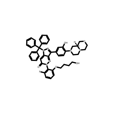 O=c1cc2c(nn1-c1c(F)cccc1OCCCCO)c(-c1ccc(N3CCN4CCOC[C@H]4C3)c(O)c1)nn2C(c1ccccc1)(c1ccccc1)c1ccccc1